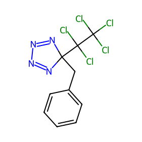 ClC(Cl)(Cl)C(Cl)(Cl)C1(Cc2ccccc2)N=NN=N1